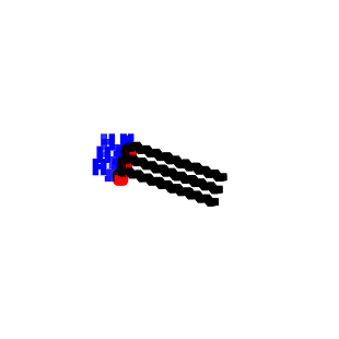 CCCCCC=CCC=CCC=CCCCCCCC(N)=O.CCCCCC=CCC=CCC=CCCCCCCC(N)=O.CCCCCC=CCC=CCC=CCCCCCCC(N)=O